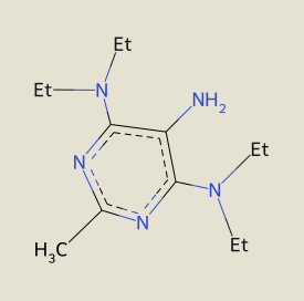 CCN(CC)c1nc(C)nc(N(CC)CC)c1N